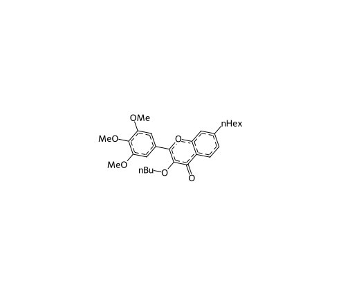 CCCCCCc1ccc2c(=O)c(OCCCC)c(-c3cc(OC)c(OC)c(OC)c3)oc2c1